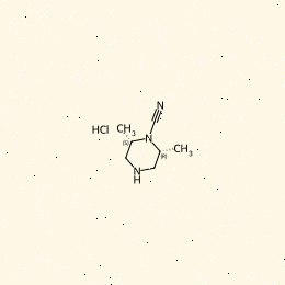 C[C@@H]1CNC[C@H](C)N1C#N.Cl